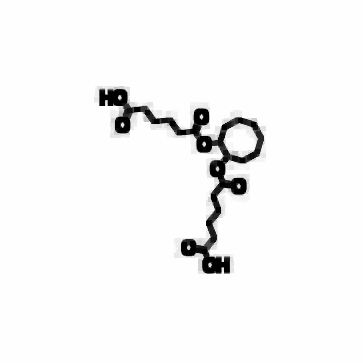 O=C(O)CCCCC(=O)OC1CCCCCCC1OC(=O)CCCCC(=O)O